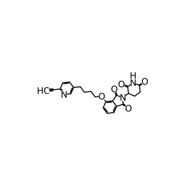 C#Cc1ccc(CCCCOc2cccc3c2C(=O)N(C2CCC(=O)NC2=O)C3=O)cn1